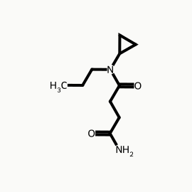 CCCN(C(=O)CCC(N)=O)C1CC1